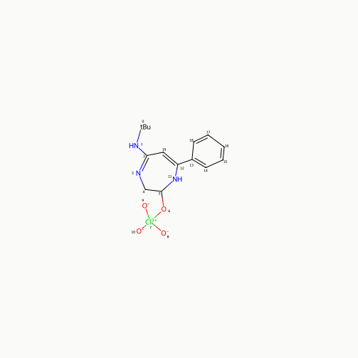 CC(C)(C)NC1=NCC(O[Cl+3]([O-])([O-])[O-])NC(c2ccccc2)=C1